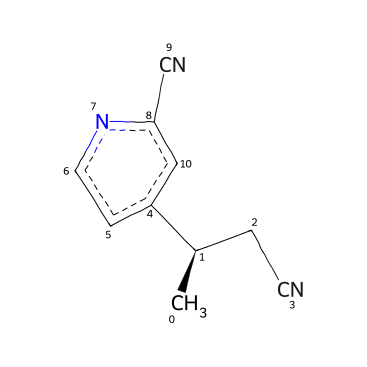 C[C@H](CC#N)c1ccnc(C#N)c1